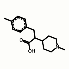 Cc1ccc(CC(C(=O)O)C2CCN(C)CC2)cc1